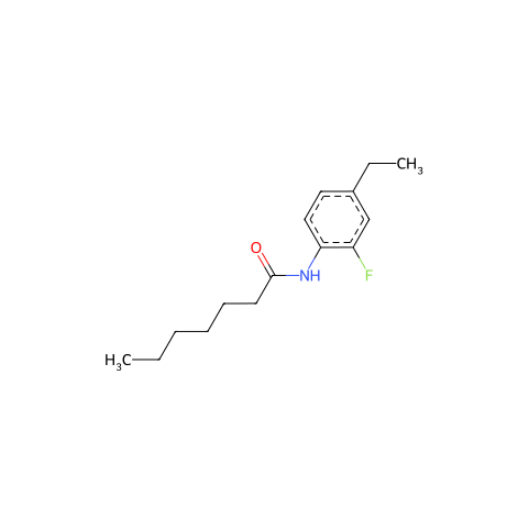 CCCCCCC(=O)Nc1ccc(CC)cc1F